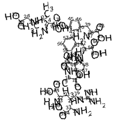 CC[C@H](C)[C@H](N)C(=O)O.C[C@H](N)C(=O)O.N=C(N)NCCC[C@H](N)C(=O)O.NCC(=O)O.NCC(=O)O.N[C@@H](Cc1ccc(O)cc1)C(=O)O.N[C@@H](Cc1ccccc1)C(=O)O.O=C(O)[C@@H]1CCCN1